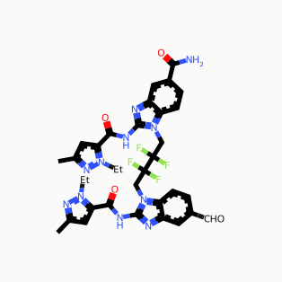 CCn1nc(C)cc1C(=O)Nc1nc2cc(C=O)ccc2n1CC(F)(F)C(F)(F)Cn1c(NC(=O)c2cc(C)nn2CC)nc2cc(C(N)=O)ccc21